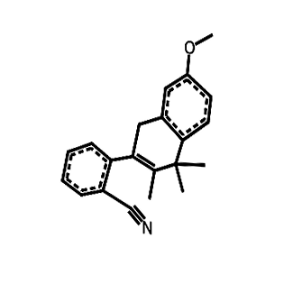 COc1ccc2c(c1)CC(c1ccccc1C#N)=C(C)C2(C)C